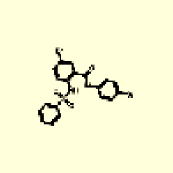 O=C(Nc1ccc(Br)cc1)c1cc(Br)ccc1NS(=O)(=O)c1ccccc1